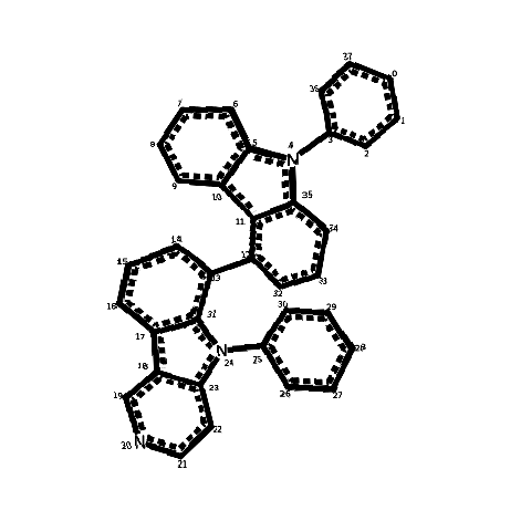 c1ccc(-n2c3ccccc3c3c(-c4cccc5c6cnccc6n(-c6ccccc6)c45)cccc32)cc1